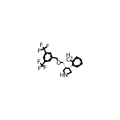 Cc1ccccc1[C@@H]1CNC[C@@H]1COCc1cc(C(F)(F)F)cc(C(F)(F)F)c1